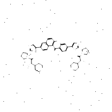 O=C(O)N[C@H](C(=O)N1C[C@H](F)C[C@H]1c1ncc(-c2ccc3c(ccc4oc5cc(-c6cnc([C@@H]7C[C@@H](F)CN7C(=O)[C@@H](NC(=O)O)C7CCOCC7)[nH]6)ccc5c(=O)c43)c2)[nH]1)C1CCOCC1